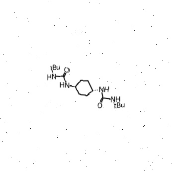 CC(C)(C)NC(=O)N[C@H]1CC[C@H](NC(=O)NC(C)(C)C)CC1